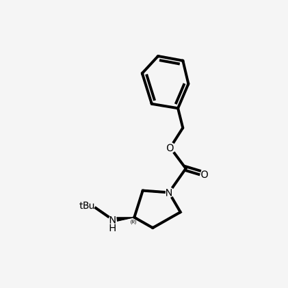 CC(C)(C)N[C@@H]1CCN(C(=O)OCc2ccccc2)C1